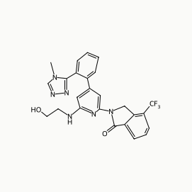 Cn1cnnc1-c1ccccc1-c1cc(NCCO)nc(N2Cc3c(cccc3C(F)(F)F)C2=O)c1